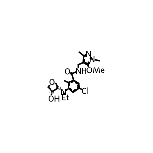 CCN(c1cc(Cl)cc(C(=O)NCc2c(C)nn(C)c2OC)c1C)[C@H]1COC[C@@H]1O